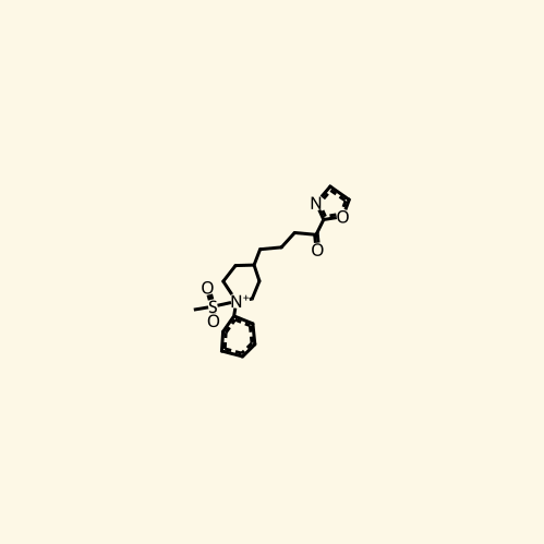 CS(=O)(=O)[N+]1(c2ccccc2)CCC(CCCC(=O)c2ncco2)CC1